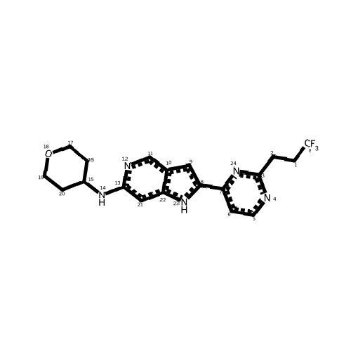 FC(F)(F)CCc1nccc(-c2cc3cnc(NC4CCOCC4)cc3[nH]2)n1